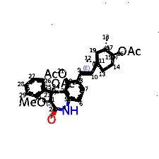 CO[C@@H]1C(=O)Nc2ccc(/C=C/[C@]3(C)CC[C@H](OC(C)=O)[C@@H](C)C3)c(OC(C)=O)c2[C@@]1(OC(C)=O)c1ccccc1